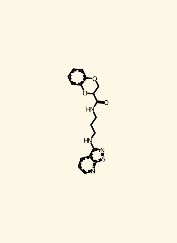 O=C(NCCCNc1nsc2ncccc12)C1COc2ccccc2O1